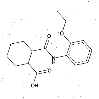 CCOc1ccccc1NC(=O)C1CCCCC1C(=O)O